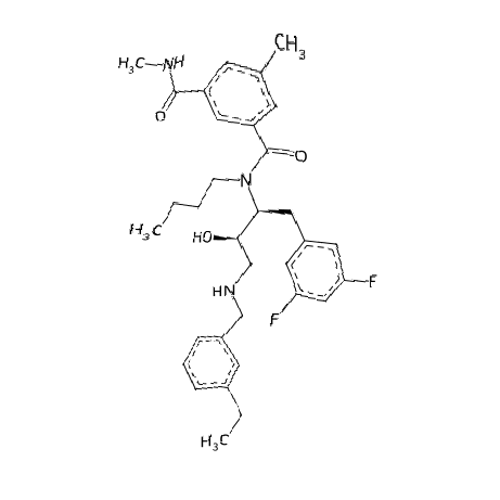 CCCCN(C(=O)c1cc(C)cc(C(=O)NC)c1)[C@@H](Cc1cc(F)cc(F)c1)[C@H](O)CNCc1cccc(CC)c1